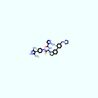 Cc1n[nH]c(C)c1-c1ccc(NC(=O)[C@@H](NC(=O)c2ccnn2C)[C@@H]2CCc3ccc(-c4ccc(CN5CCCC5)cc4)cc32)cc1